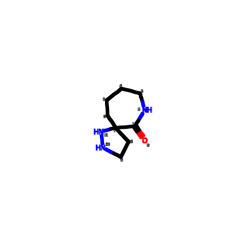 O=C1NCCCCC12CCNN2